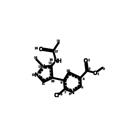 COC(=O)c1cnc(Cl)c(-c2cnn(C)c2NC(C)=O)c1